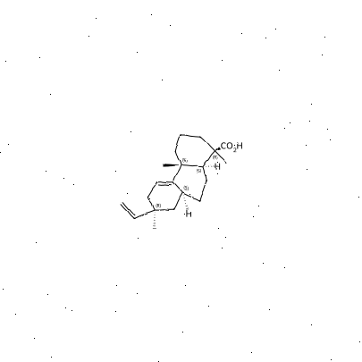 C=C[C@@]1(C)CC=C2[C@@H](CC[C@@H]3[C@](C)(C(=O)O)CCC[C@@]23C)C1